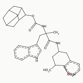 CC(Cc1c[nH]c2ccccc12)(NC(=O)OC1C2CC3CC(C2)CC1C3)C(=O)NC(Cc1ccccc1)CC(CC(=O)O)C(=O)O